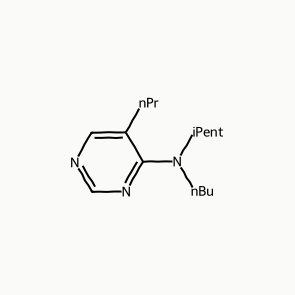 CCCCN(c1ncncc1CCC)C(C)CCC